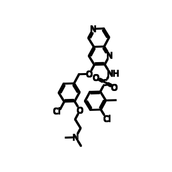 Cc1c(Cl)cccc1S(=O)(=O)Nc1nc2ccncc2cc1OCc1ccc(Cl)c(OCCN(C)C)c1